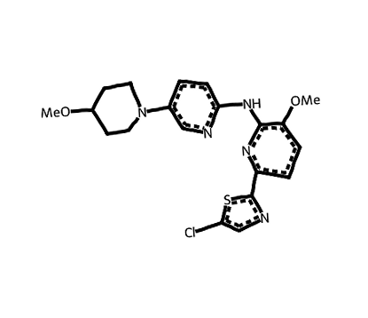 COc1ccc(-c2ncc(Cl)s2)nc1Nc1ccc(N2CCC(OC)CC2)cn1